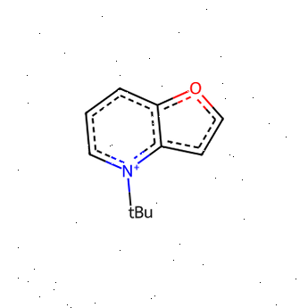 CC(C)(C)[n+]1cccc2occc21